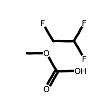 COC(=O)O.FCC(F)F